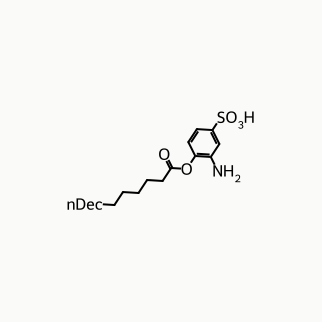 CCCCCCCCCCCCCCCC(=O)Oc1ccc(S(=O)(=O)O)cc1N